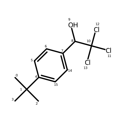 CC(C)(C)c1ccc(C(O)C(Cl)(Cl)Cl)cc1